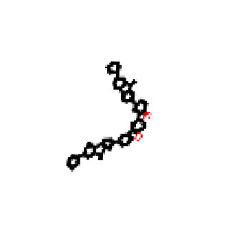 C=C1c2cc(-c3ccccc3)ccc2-c2ccc(-c3ccc4oc5cc6oc7ccc(-c8ccc9c(c8)C(=C)c8cc(-c%10ccccc%10)ccc8-9)cc7c6cc5c4c3)cc21